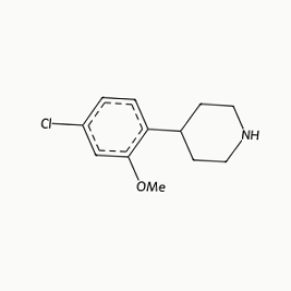 COc1cc(Cl)ccc1C1CCNCC1